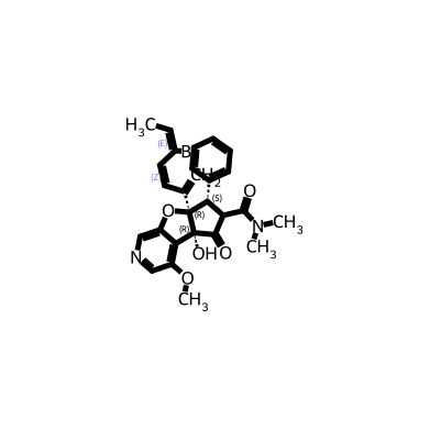 C=C(/C=C\C(Br)=C/C)[C@@]12Oc3cncc(OC)c3[C@]1(O)C(=O)C(C(=O)N(C)C)[C@H]2c1ccccc1